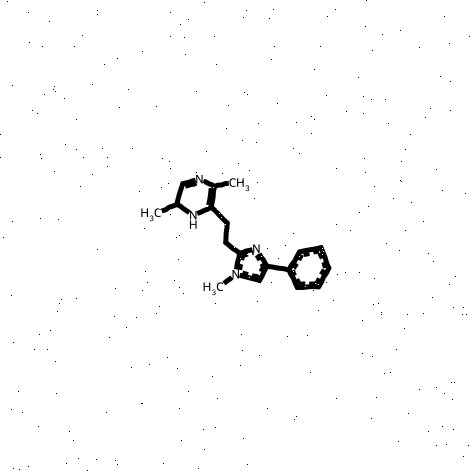 CC1=C(CCc2nc(-c3ccccc3)cn2C)NC(C)C=N1